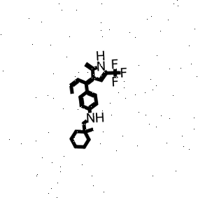 C=c1[nH]c(C(F)(F)F)c/c1=C(/C=C\C)c1ccc(NCC2(C)CCCCC2)cc1